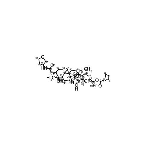 CC(C)[C@@H](OC(=O)N1CCC1)[C@H]1C[C@@H](C)[C@H]2[C@H](O1)[C@H](O)[C@@]1(C)[C@@H]3CC[C@H]4C(C)(C)[C@@H](OC(=O)NC5CCOC5)CC[C@@]45C[C@@]35CC[C@]21C